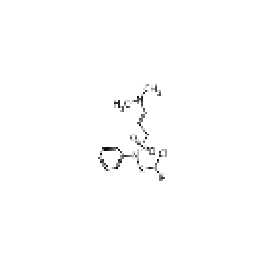 CN(C)C=CCS(=O)(=O)N(SC(F)Cl)c1ccccc1